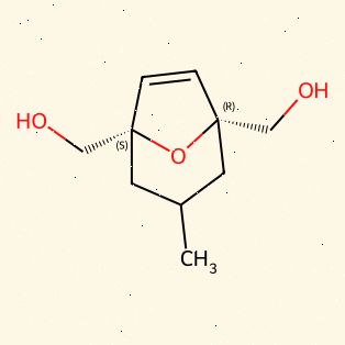 CC1C[C@@]2(CO)C=C[C@@](CO)(C1)O2